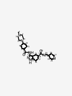 CN1CCN(c2ccc(C(=O)Nc3n[nH]c4ccc(C(=O)NCc5ccncc5)cc34)cc2)CC1